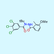 COc1cccc(C(=O)NN(C(=O)c2cc(Cl)c(Cl)c(Cl)c2)C(C)(C)C)c1C